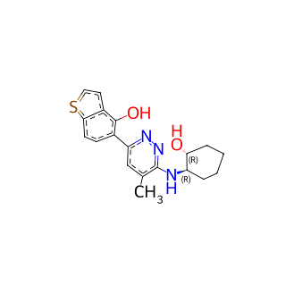 Cc1cc(-c2ccc3sccc3c2O)nnc1N[C@@H]1CCCC[C@H]1O